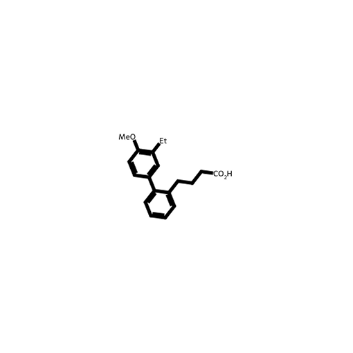 CCc1cc(-c2ccccc2CCCC(=O)O)ccc1OC